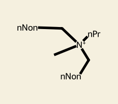 [CH2]CC[N+](C)(CCCCCCCCCC)CCCCCCCCCC